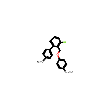 CCCCCc1ccc(OCc2c(F)cccc2-c2ccc(SC)cc2)cc1